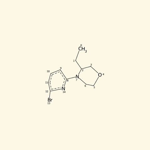 CCC1COCCN1c1cccc(Br)n1